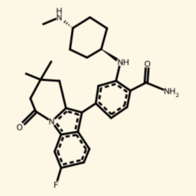 CN[C@H]1CC[C@H](Nc2cc(-c3c4n(c5cc(F)ccc35)C(=O)CC(C)(C)C4)ccc2C(N)=O)CC1